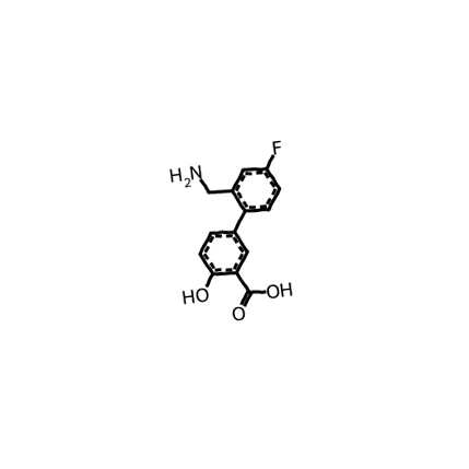 NCc1cc(F)ccc1-c1ccc(O)c(C(=O)O)c1